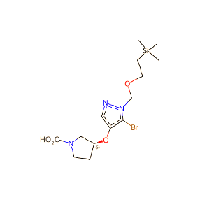 C[Si](C)(C)CCOCn1ncc(O[C@H]2CCN(C(=O)O)C2)c1Br